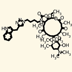 CC[C@H]1OC(=O)[C@H](C)C(=O)[C@H](C)[C@@H](O[C@@H]2O[C@H](C)C[C@H](N(C)C)[C@H]2O)C(C)(OC)C[C@@H](C)C(=O)[C@H](C)[C@H]2N(CCCCn3cc(Cc4c[nH]c5ccccc45)nn3)C(=O)O[C@]12C